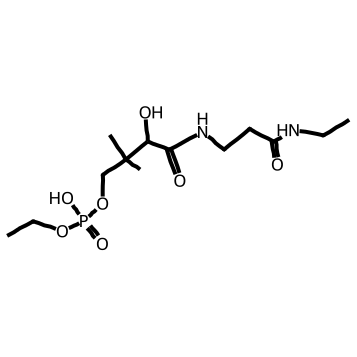 CCNC(=O)CCNC(=O)C(O)C(C)(C)COP(=O)(O)OCC